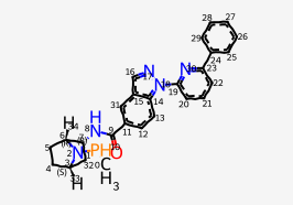 CPN1[C@H]2CC[C@@H]1[C@H](NC(=O)c1ccc3c(cnn3-c3cccc(-c4ccccc4)n3)c1)C2